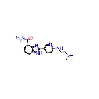 CN(C)CCNc1ccc(-c2nc3c(C(N)=O)cccc3[nH]2)cn1